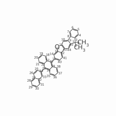 CC1(C)c2ccccc2-c2cc3oc4cc(-c5c6ccccc6c(-c6ccc7ccccc7c6)c6ccccc56)ccc4c3cc21